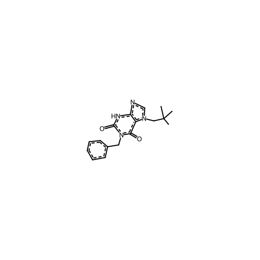 CC(C)(C)Cn1cnc2[nH]c(=O)n(Cc3ccccc3)c(=O)c21